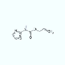 C=CCOC(=O)Nc1n[c]cs1